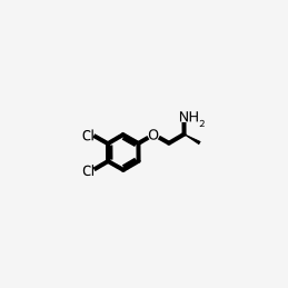 C[C@H](N)COc1ccc(Cl)c(Cl)c1